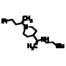 C=C(NCCC(C)(C)C)C1CCN(C(=C)CCC(C)C)CC1